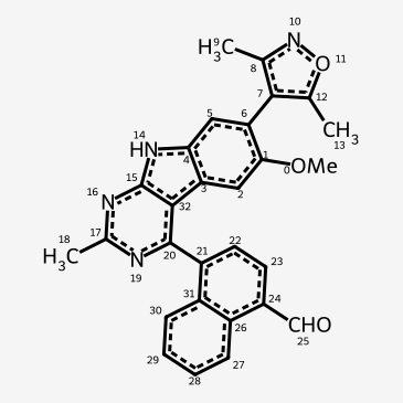 COc1cc2c(cc1-c1c(C)noc1C)[nH]c1nc(C)nc(-c3ccc(C=O)c4ccccc34)c12